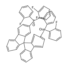 O=P(c1ccc2c(c1)C1(c3ccccc3-2)c2ccccc2-c2ccc(P(=O)(c3ccccc3F)c3ccccc3F)cc21)(c1ccccc1F)c1ccccc1F